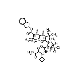 CC(C)[C@H](NC(=O)N[C@H](C(=O)N1C[C@H]2[C@@H]([C@H]1C(=O)N[C@@H](C(=O)C(N)=O)C1CCC1)C2(Cl)Cl)C(C)(C)C)C(=O)OC1Cc2ccccc2C1